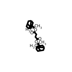 CC(C)(OC(=O)CCC(=O)OC(C)(C)C12CC3CC(CC(C3)C1)C2)C12CC3CC(CC(C3)C1)C2